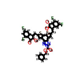 O=C1C(=O)c2c(F)cc(F)cc2/C1=C/c1cc2c3nn(C(=O)OCc4ccccc4)nc3c3cc(/C=C4\C(=O)C(=O)c5c(F)cc(F)cc54)sc3c2s1